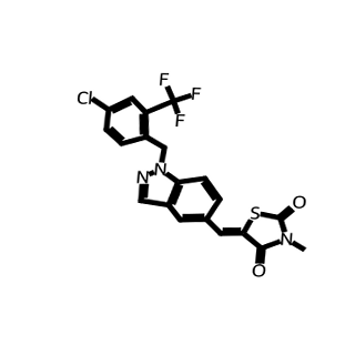 CN1C(=O)S/C(=C\c2ccc3c(cnn3Cc3ccc(Cl)cc3C(F)(F)F)c2)C1=O